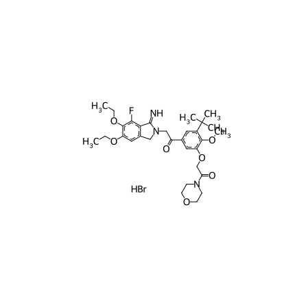 Br.CCOc1cc2c(c(F)c1OCC)C(=N)N(CC(=O)c1cc(OCC(=O)N3CCOCC3)c(OC)c(C(C)(C)C)c1)C2